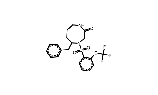 O=C1CN(S(=O)(=O)c2ccccc2OC(F)(F)F)C(Cc2ccccc2)CCCN1